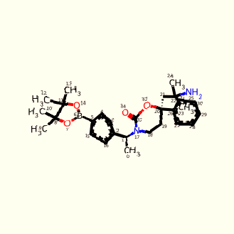 C[C@@H](c1ccc(B2OC(C)(C)C(C)(C)O2)cc1)N1CC[C@](CC(C)(C)N)(c2ccccc2)OC1=O